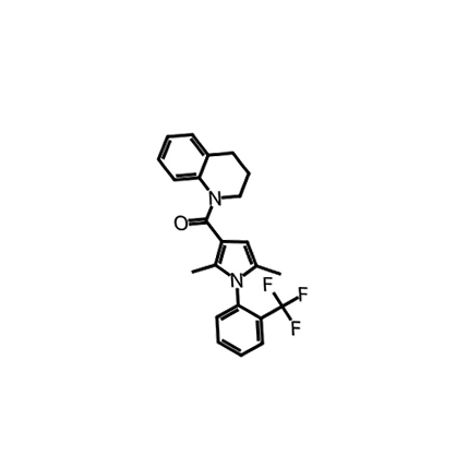 Cc1cc(C(=O)N2CCCc3ccccc32)c(C)n1-c1ccccc1C(F)(F)F